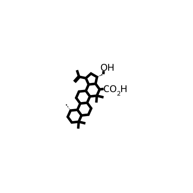 C=C(C)C1C[C@H](CO)C2C1C1CCC3C(CCC4C3[C@@H](C)CCC4(C)C)C1C(C)(C)C2C(=O)O